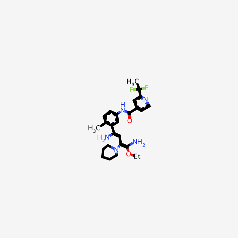 CCO/C(N)=C(/C=C(\N)c1cc(NC(=O)c2ccnc(C(C)(F)F)c2)ccc1C)N1CCCCC1